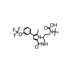 CC(C)(C)N(CCC1CNC(=O)c2cc(-c3cccc(OC(F)(F)F)c3)c(I)n21)C(=O)O